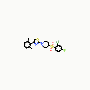 Cc1cccc(C)c1-c1csc(N2CCC(S(=O)(=O)c3ccc(F)cc3Cl)CC2)n1